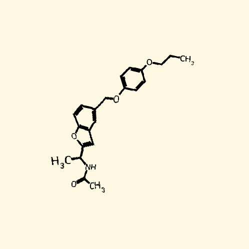 CCCOc1ccc(OCc2ccc3oc(C(C)NC(C)=O)cc3c2)cc1